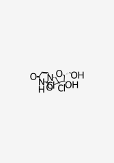 O=c1ccn([C@@H]2O[C@H](CO)[C@H](O)C2(Cl)Cl)c(=O)[nH]1